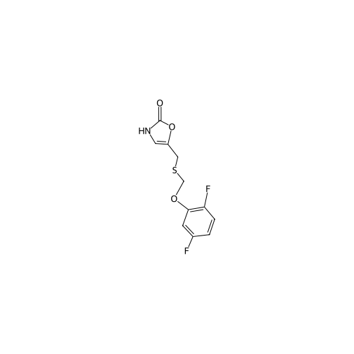 O=c1[nH]cc(CSCOc2cc(F)ccc2F)o1